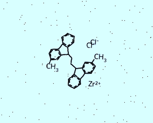 Cc1ccc2c(c1)C(CCC1c3ccccc3-c3ccc(C)cc31)c1ccccc1-2.[Cl-].[Cl-].[Zr+2]